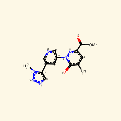 COC(=O)c1cc(C#N)c(=O)n(-c2cncc(-c3cnnn3C)c2)n1